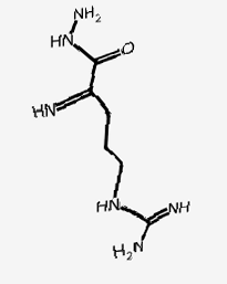 N=C(N)NCCCC(=N)C(=O)NN